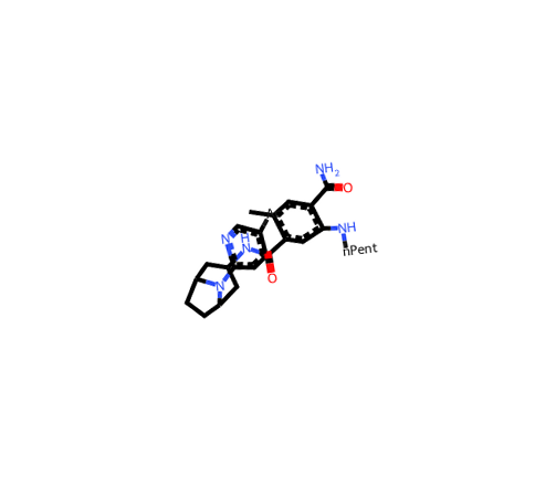 CCCCCNc1cc(C(=O)NC2CC3CCC(C2)N3c2ccc(C(C)=O)cn2)c(C)cc1C(N)=O